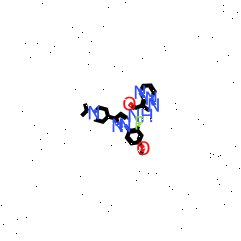 COc1ccc(-n2nc(C3CCN(C(C)C)CC3)cc2NC(=O)c2cnn3cccnc23)c(F)c1